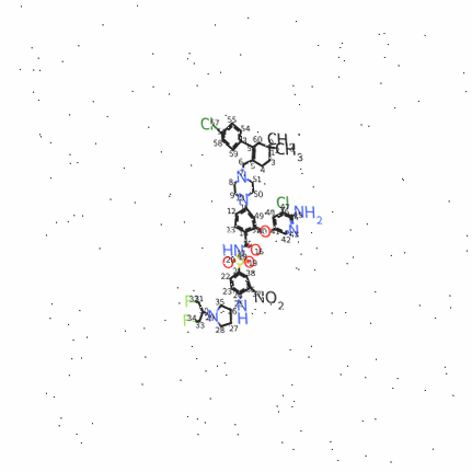 CC1(C)CCC(CN2CCN(c3ccc(C(=O)NS(=O)(=O)c4ccc(N[C@@H]5CCN(C(CF)CF)C5)c([N+](=O)[O-])c4)c(Oc4cnc(N)c(Cl)c4)c3)CC2)=C(c2ccc(Cl)cc2)C1